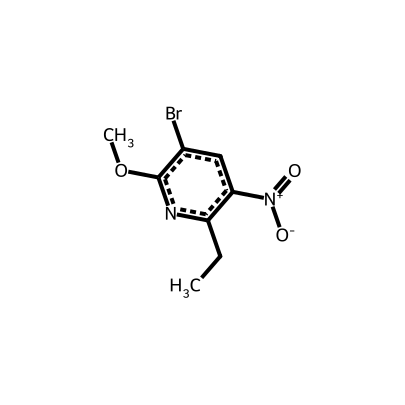 CCc1nc(OC)c(Br)cc1[N+](=O)[O-]